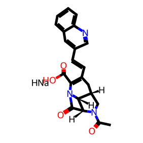 CC(=O)N1C[C@H]2CC(/C=C/c3cnc4ccccc4c3)=C(C(=O)O)N3C(=O)[C@@H]1[C@@H]23.[NaH]